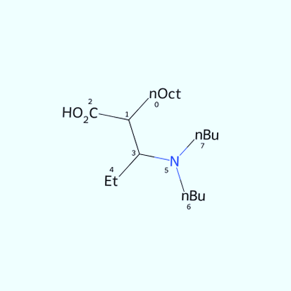 CCCCCCCCC(C(=O)O)C(CC)N(CCCC)CCCC